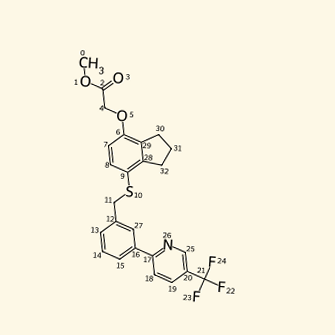 COC(=O)COc1ccc(SCc2cccc(-c3ccc(C(F)(F)F)cn3)c2)c2c1CCC2